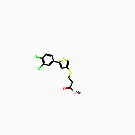 COC(=O)CCSc1csc(-c2ccc(Cl)c(Cl)c2)c1